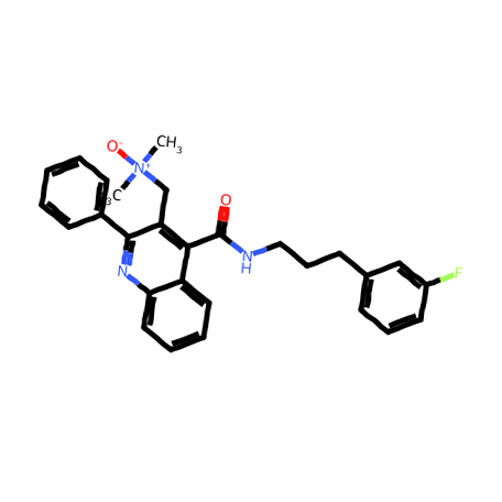 C[N+](C)([O-])Cc1c(-c2ccccc2)nc2ccccc2c1C(=O)NCCCc1cccc(F)c1